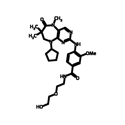 COc1cc(C(=O)NCCOCCO)ccc1Nc1ncc2c(n1)N(C1CCCC1)CC(C)(C)C(=O)N2C